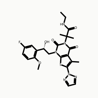 CCNC(=O)C(C)(C)n1c(=O)c2c(C)c(-n3nccn3)sc2n(C[C@@H](O)c2cc(F)ccc2OC)c1=O